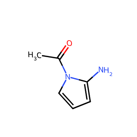 CC(=O)n1cccc1N